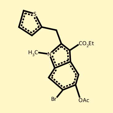 CCOC(=O)c1c(Cc2cccs2)n(C)c2cc(Br)c(OC(C)=O)cc12